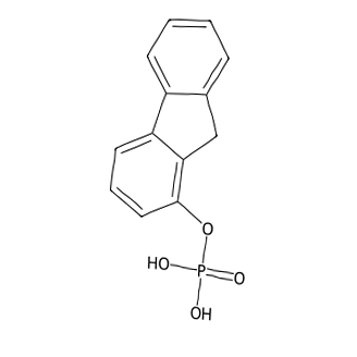 O=P(O)(O)Oc1cccc2c1Cc1ccccc1-2